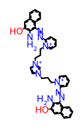 Nc1c(O)cc2ccccc2c1/N=N/c1cccc[n+]1CCCn1cc[n+](CCC[n+]2ccccc2/N=N/c2c(N)c(O)cc3ccccc23)c1